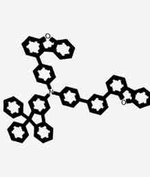 c1ccc(C2(c3ccccc3)c3ccccc3-c3cc(N(c4ccc(-c5cccc(-c6cccc7c6oc6ccccc67)c5)cc4)c4ccc(-c5cccc6oc7ccccc7c56)cc4)ccc32)cc1